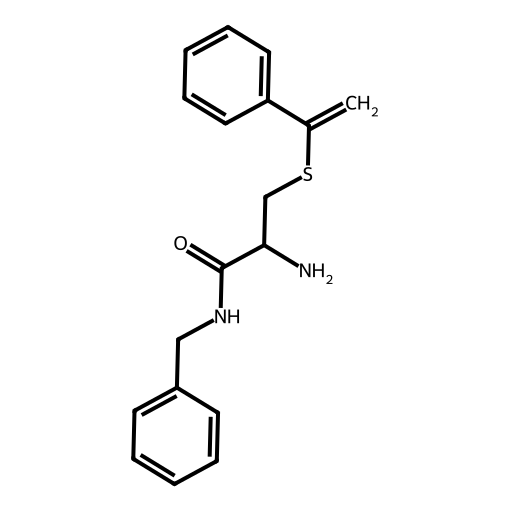 C=C(SCC(N)C(=O)NCc1ccccc1)c1ccccc1